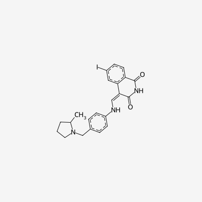 CC1CCCN1Cc1ccc(NC=C2C(=O)NC(=O)c3ccc(I)cc32)cc1